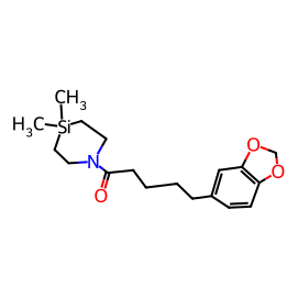 C[Si]1(C)CCN(C(=O)CCCCc2ccc3c(c2)OCO3)CC1